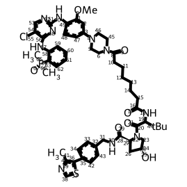 COc1cc(N2CCN(C(=O)CCCCCCC(=O)NC(C(=O)N3C[C@H](O)C[C@H]3C(=O)NCc3ccc(-c4scnc4C)cc3)C(C)(C)C)CC2)ccc1Nc1ncc(Cl)c(Nc2ccccc2P(C)(C)=O)n1